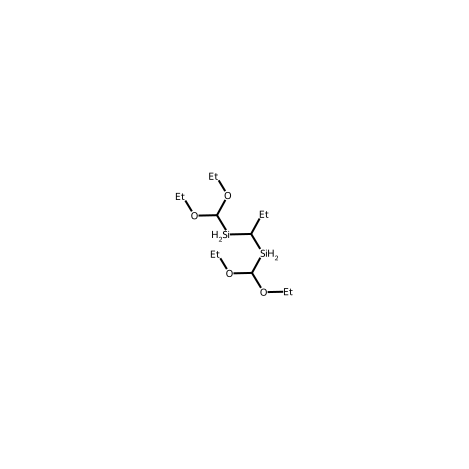 CCOC(OCC)[SiH2]C(CC)[SiH2]C(OCC)OCC